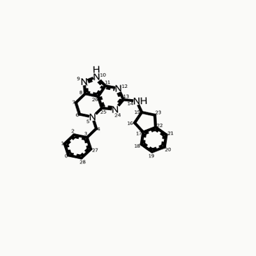 c1ccc(CN2CCc3n[nH]c4nc(NC5Cc6ccccc6C5)nc2c34)cc1